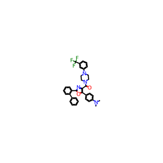 CN(C)c1ccc(-c2oc(-c3ccccc3-c3ccccc3)nc2C(=O)N2CCN(c3cccc(C(F)(F)F)c3)CC2)cc1